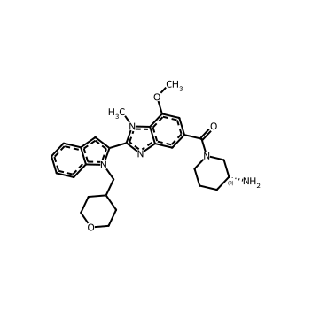 COc1cc(C(=O)N2CCC[C@@H](N)C2)cc2nc(-c3cc4ccccc4n3CC3CCOCC3)n(C)c12